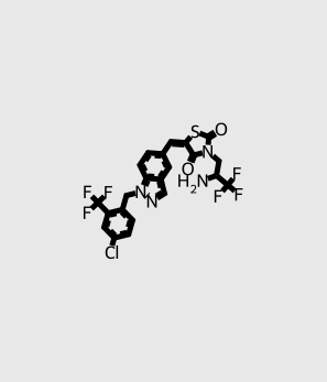 NC(CN1C(=O)SC(=Cc2ccc3c(cnn3Cc3ccc(Cl)cc3C(F)(F)F)c2)C1=O)C(F)(F)F